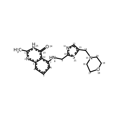 Cc1nc2cccc(NCc3ncc(CN4CCOCC4)s3)c2c(=O)[nH]1